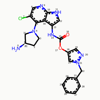 N[C@@H]1CCN(c2c(Cl)cnc3[nH]cc(NC(=O)Oc4cnn(Cc5ccccc5)c4)c23)C1